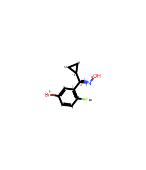 O/N=C(/c1cc(Br)ccc1F)C1CC1